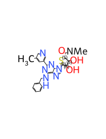 CNC(=O)[C@H]1S[C@@H](n2cnc3c(NCc4ccccc4)nc(-c4cncc(C)c4)nc32)[C@H](O)[C@@H]1O